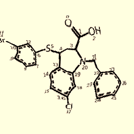 O=C(O)C1C(Sc2cccc(Br)c2)c2ccc(Cl)cc2N1Cc1ccccc1